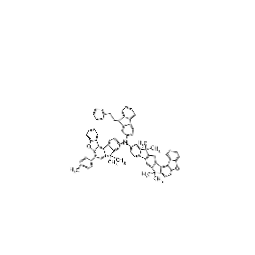 Cc1ccc(-c2cc3c(c4c2oc2ccccc24)-c2ccc(N(c4ccc5c(c4)C(CCc4ccccc4)c4ccccc4-5)c4ccc5c(c4)C(C)(C)c4cc6c(cc4-5)C(C)(C)c4ccc5oc7ccccc7c5c4-6)cc2C3(C)C)cc1